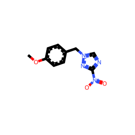 COc1ccc(Cn2cnc([N+](=O)[O-])n2)cc1